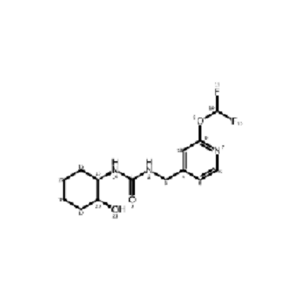 O=C(NCc1ccnc(OC(F)F)c1)N[C@@H]1CCCC[C@@H]1O